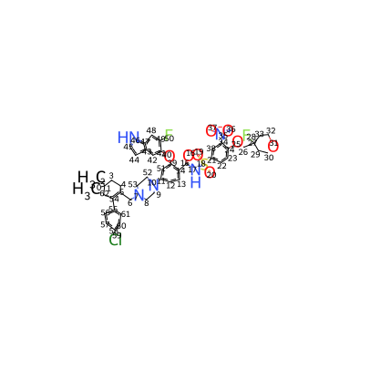 CC1(C)CCC(CN2CCN(c3ccc(C(=O)NS(=O)(=O)c4ccc(OCC5(F)CCOCC5)c([N+](=O)[O-])c4)c(Oc4cc5cc[nH]c5cc4F)c3)CC2)=C(c2ccc(Cl)cc2)C1